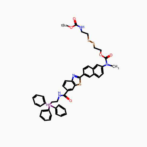 CN(C(=O)OCCSSCCNC(=O)OC(C)(C)C)c1ccc2cc(-c3nc4ccc(C(=O)NCC[PH](c5ccccc5)(c5ccccc5)c5ccccc5)cc4s3)ccc2c1